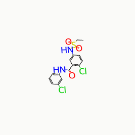 CCS(=O)(=O)Nc1ccc(Cl)c(C(=O)Nc2cccc(Cl)c2)c1